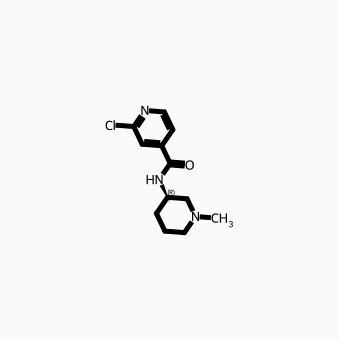 CN1CCC[C@@H](NC(=O)c2ccnc(Cl)c2)C1